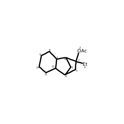 CCC1(OC(C)=O)CC2CC1C1CCCCC21